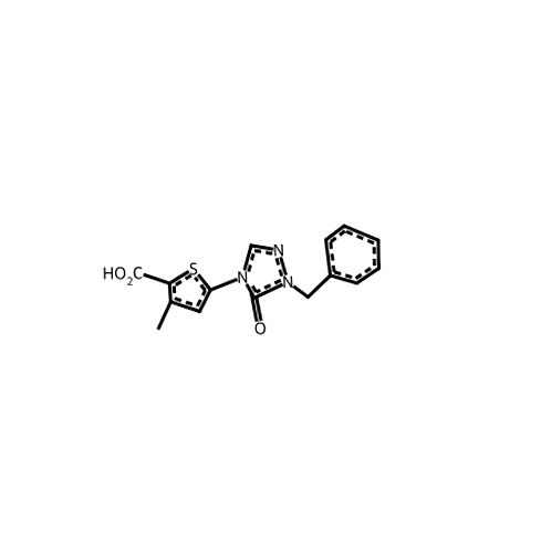 Cc1cc(-n2cnn(Cc3ccccc3)c2=O)sc1C(=O)O